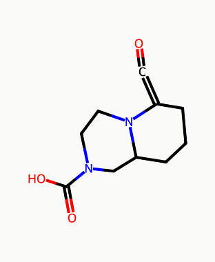 O=C=C1CCCC2CN(C(=O)O)CCN12